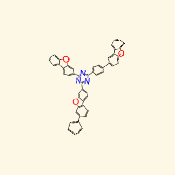 c1ccc(-c2ccc3c(c2)oc2cc(-c4nc(-c5ccc(-c6ccc7oc8ccccc8c7c6)cc5)nc(-c5ccc6c(c5)oc5ccccc56)n4)ccc23)cc1